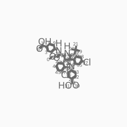 COc1cc(C(=O)O)ccc1NC(=O)[C@@H]1N[C@@H](CC(C)(C)C)[C@@]2(CN(c3ccc(C(=O)O)cc3)c3cc(Cl)ccc32)[C@H]1c1cccc(Cl)c1F